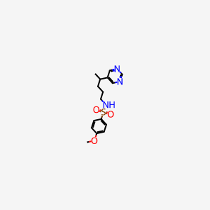 COc1ccc(S(=O)(=O)NCCCC(C)c2cncnc2)cc1